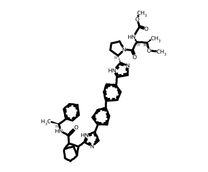 COC(=O)N[C@H](C(=O)N1CCC[C@H]1c1ncc(-c2ccc(-c3ccc(-c4cnc(C5C6CCC(C6)C5C(=O)N[C@@H](C)c5ccccc5)[nH]4)cc3)cc2)[nH]1)[C@@H](C)OC